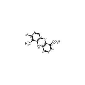 Cc1c(Br)ccc(Sc2ccccc2C(=O)O)c1N